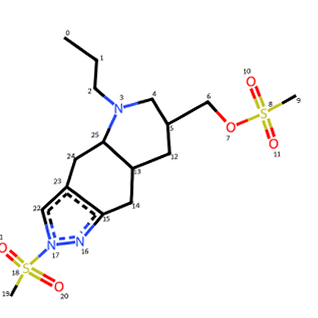 CCCN1CC(COS(C)(=O)=O)CC2Cc3nn(S(C)(=O)=O)cc3CC21